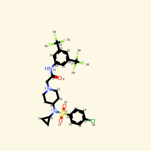 O=C(CN1CCC(N(C2CC2)S(=O)(=O)c2ccc(Cl)cc2)CC1)Nc1cc(C(F)(F)F)cc(C(F)(F)F)c1